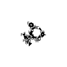 C[C@@H]1[C@H]2CCCCCc3nc4ccc(F)cc4nc3O[C@@H]3C[C@@H](C(=O)N[C@]4(C(=O)NS(=O)(=O)C5CC5)C[C@H]4C(F)F)N(C3)C(=O)[C@H](C(C)(C)C)NC(=O)O[C@@H]2C[C@@H]1C